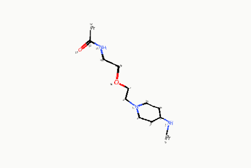 CC(C)NC1CCN(CCOCCNC(=O)C(C)C)CC1